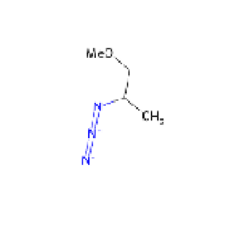 COCC(C)N=[N+]=[N-]